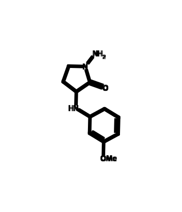 COC1=CC(NC2CCN(N)C2=O)CC=C1